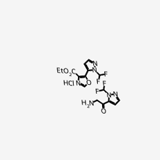 CCOC(=O)c1ncoc1-c1ccnn1C(F)F.Cl.NCC(=O)c1ccnn1C(F)F